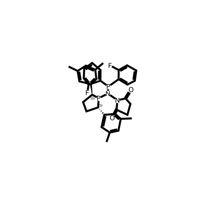 Cc1cc(C)cc([C@@H]2CC[C@@H](c3cc(C)cc(C)c3)P2N(N2C(=O)CCC2=O)P(c2ccccc2F)c2ccccc2F)c1